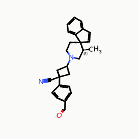 C[C@H]1CN(C2CC(C#N)(c3ccc(C=O)cc3)C2)CCC12C=Cc1ccccc12